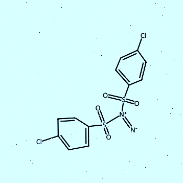 [N-]=[N+](S(=O)(=O)c1ccc(Cl)cc1)S(=O)(=O)c1ccc(Cl)cc1